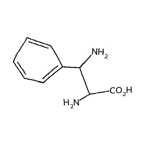 NC(C(=O)O)C(N)c1ccccc1